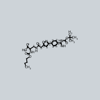 CCCCOC(=O)NC(CNC(=O)Cc1cc(-c2ccc(C(=N)NC(=O)OC(C)(C)C)cc2)no1)C(=O)O